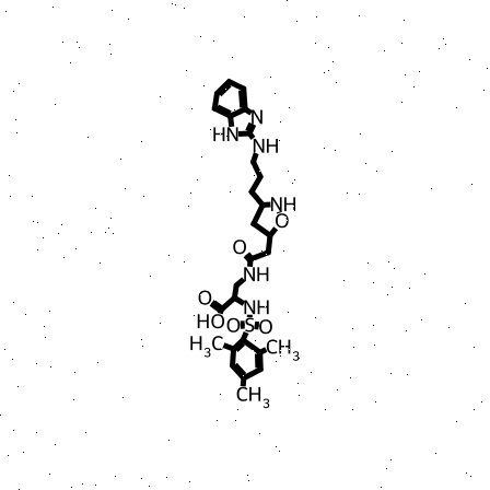 Cc1cc(C)c(S(=O)(=O)NC(CNC(=O)CC2CC(CCCNc3nc4ccccc4[nH]3)NO2)C(=O)O)c(C)c1